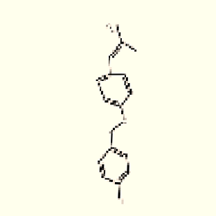 CC(=Cc1ccc(OCc2ccc(Cl)cc2)cc1)[N+](=O)[O-]